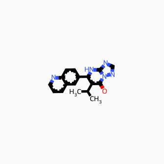 CC(C)c1c(-c2ccc3ncccc3c2)[nH]c2ncnn2c1=O